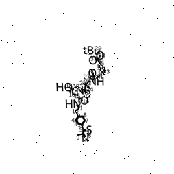 Cc1ncsc1-c1ccc(CCNC(=O)[C@@H]2C[C@@H](O)CN2C(=O)C(C)(C)[C@H](C)NC(=O)CN(C)CCC(=O)OC(C)(C)C)cc1